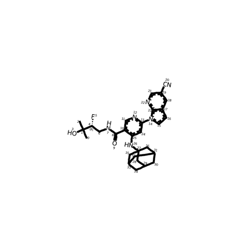 CC(C)(O)[C@H](F)CNC(=O)c1cnc(-n2ccc3cc(C#N)cnc32)cc1NC12CC3CC(CC(C3)C1)C2